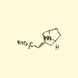 CCOC(=O)/C=C1\CC2CC[C@@H](C1)N2